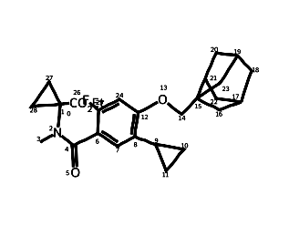 CCOC(=O)C1(N(C)C(=O)c2cc(C3CC3)c(OCC34CC5CC(CC3C5)C4)cc2F)CC1